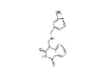 Nc1cccc(CN/C=C2/C(=O)NC(=O)c3ccccc32)c1